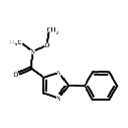 CON(C)C(=O)c1cnc(-c2ccccc2)s1